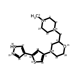 CN1CCN(CC2CN(c3csc(-c4cn[nH]c4)c3)CCO2)CC1